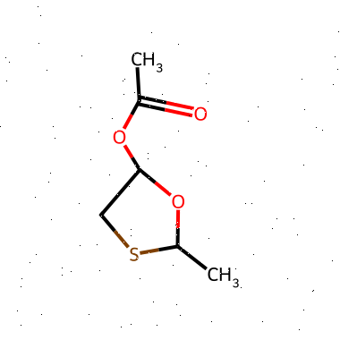 CC(=O)OC1CSC(C)O1